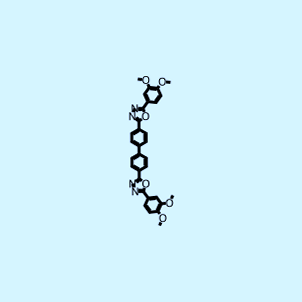 COc1ccc(-c2nnc(-c3ccc(-c4ccc(-c5nnc(-c6ccc(OC)c(OC)c6)o5)cc4)cc3)o2)cc1OC